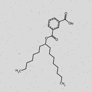 CCCCCCCCC(CCCCCCC)OC(=O)c1cccc(C(=O)O)c1